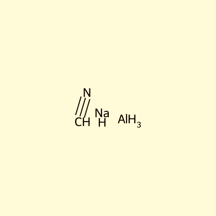 C#N.[AlH3].[NaH]